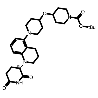 CC(C)(C)OC(=O)N1CCC(OC2CCN(c3cccc4c3CCCN4[C@H]3CCC(=O)NC3=O)CC2)CC1